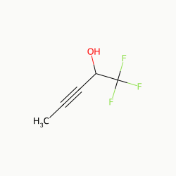 CC#CC(O)C(F)(F)F